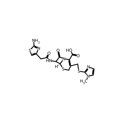 Cn1ccnc1SCC1=C(C(=O)O)N2C(=O)C(NC(=O)Cc3csc(N)n3)[C@@H]2SC1